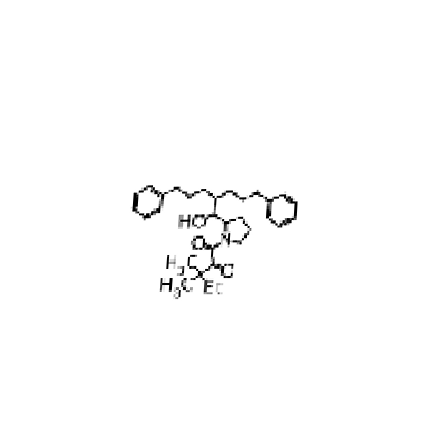 CCC(C)(C)C(=O)C(=O)N1CCCC1C(O)C(CCCc1ccccc1)CCCc1ccccc1